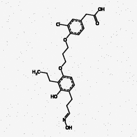 CCCc1c(OCCCOc2ccc(CC(=O)O)cc2Cl)ccc(CCC=NO)c1O